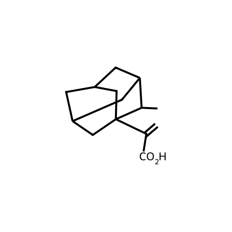 C=C(C(=O)O)C12CC3CC(CC(C3)C1C)C2